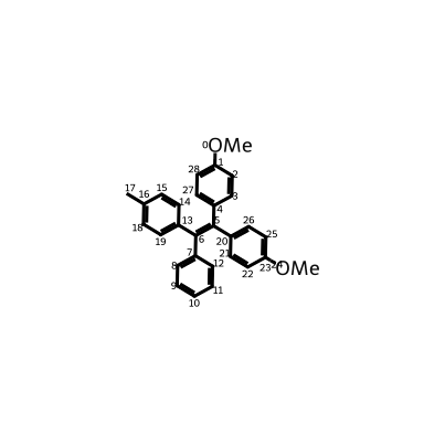 COc1ccc(C(=C(c2ccccc2)c2ccc(C)cc2)c2ccc(OC)cc2)cc1